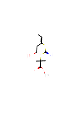 C/C=C(\CCO)SC(=N)SC(C)(C)C(=O)OC(C)(C)C